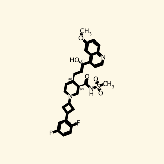 COc1ccc2nccc([C@@H](O)CC[C@@H]3CCN(C4CC(c5cc(F)ccc5F)C4)C[C@@H]3C(=O)NS(C)(=O)=O)c2c1